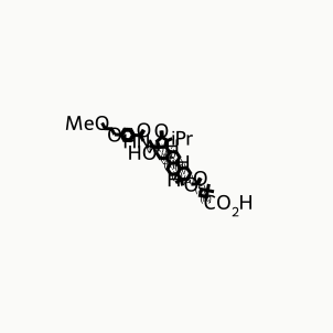 COCCOc1ccc(C(=O)NC[C@H](O)[C@@]23CC[C@]4(C)[C@H](CC[C@@H]5[C@@]6(C)CC[C@H](OC(=O)[C@H]7C[C@@H](C(=O)O)C7(C)C)C(C)(C)[C@@H]6CC[C@]54C)C2=C(C(C)C)C(=O)C3)cc1